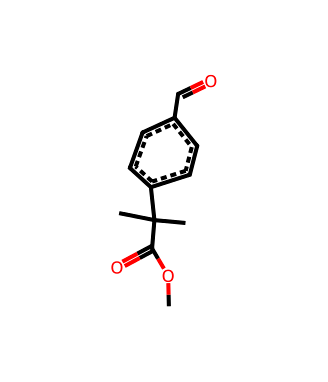 COC(=O)C(C)(C)c1ccc(C=O)cc1